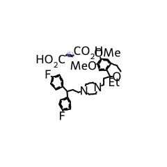 CCC1(CCN2CCN(CCC(c3ccc(F)cc3)c3ccc(F)cc3)CC2)OCCc2cc(OC)c(OC)cc21.O=C(O)/C=C/C(=O)O